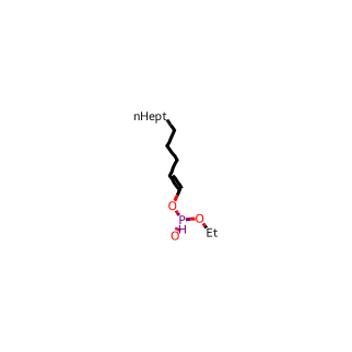 CCCCCCCCCCC=CO[PH](=O)OCC